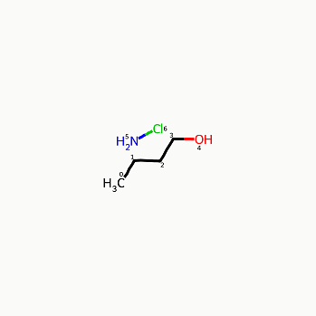 CCCCO.NCl